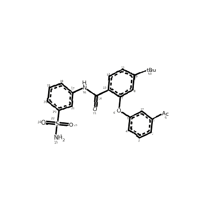 CC(=O)c1cccc(Oc2cc(C(C)(C)C)ccc2C(=O)Nc2cccc(S(N)(=O)=O)c2)c1